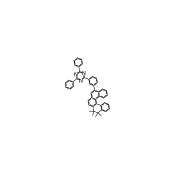 CC1(C)c2ccccc2-c2c(ccc3cc(-c4cccc(-c5nc(-c6ccccc6)nc(-c6ccccc6)n5)c4)c4ccccc4c23)C1(C)C